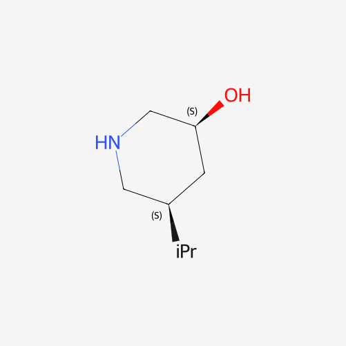 CC(C)[C@H]1CNC[C@@H](O)C1